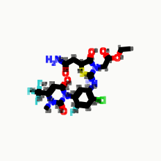 CCOC(=O)CN1C(=O)C(CC(N)=O)S/C1=N\c1cc(-n2c(=O)cc(C(F)(F)F)n(C)c2=O)c(F)cc1Cl